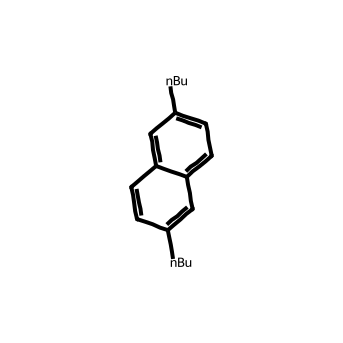 CCCCc1ccc2cc(CCCC)ccc2c1